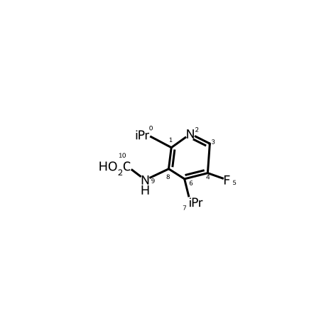 CC(C)c1ncc(F)c(C(C)C)c1NC(=O)O